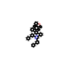 c1ccc(-c2cccc(-c3cc(-c4ccccc4-c4ccc5c(c4)C4(c6ccccc6-5)c5ccccc5C5(c6ccccc6Oc6ccccc65)c5ccccc54)nc(-c4cccc(-c5ccccc5)c4)n3)c2)cc1